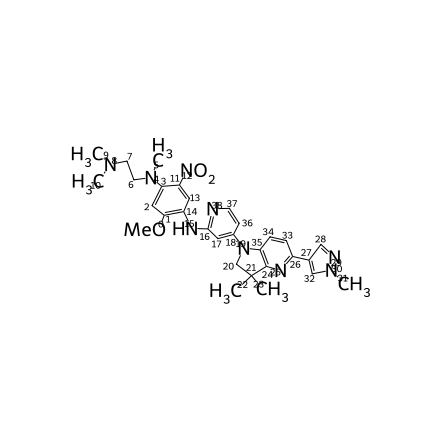 COc1cc(N(C)CCN(C)C)c([N+](=O)[O-])cc1Nc1cc(N2CC(C)(C)c3nc(-c4cnn(C)c4)ccc32)ccn1